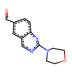 O=Cc1ccc2nc(N3CCOCC3)ncc2c1